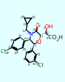 O=C(O)C(O)[C@@H]1O[C@@H](c2cccc(Cl)c2)[C@@H](c2ccc(Cl)cc2)N(CC2CC2)C1=O